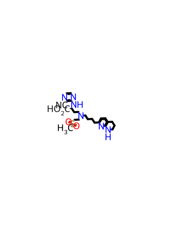 CS(=O)(=O)CCN(CCCCc1ccc2c(n1)NCCC2)CC[C@H](Nc1nccnc1C#N)C(=O)O